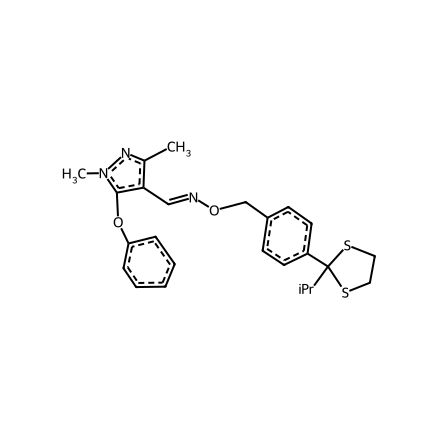 Cc1nn(C)c(Oc2ccccc2)c1C=NOCc1ccc(C2(C(C)C)SCCS2)cc1